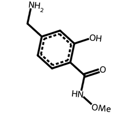 CONC(=O)c1ccc(CN)cc1O